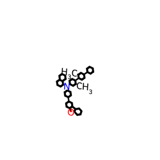 Cc1cc(-c2ccccc2)ccc1-c1ccc(N(c2ccc(-c3ccc4oc5ccccc5c4c3)cc2)c2cccc3ccccc23)cc1C